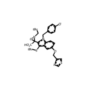 CC(C)(C)CN1OC1(C(=O)O)c1c(SC(C)(C)C)c2cc(OCc3cscn3)ccc2n1Cc1ccc(Cl)cc1